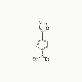 CCN(CC)c1ccc(-c2cnco2)cc1